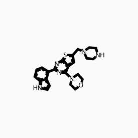 c1cc(-c2nc(N3CCOCC3)c3cc(CN4CCNCC4)sc3n2)c2cc[nH]c2c1